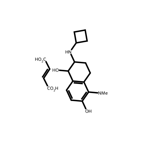 CNc1c(O)ccc2c1CCC(NC1CCC1)C2O.O=C(O)C=CC(=O)O